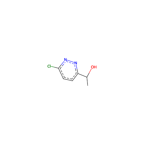 CC(O)c1ccc(Cl)nn1